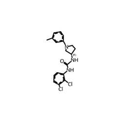 Cc1cccc(N2CC[C@@H](NC(=O)Nc3cccc(Cl)c3Cl)C2)c1